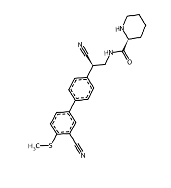 CSc1ccc(-c2ccc([C@@H](C#N)CNC(=O)[C@@H]3CCCCN3)cc2)cc1C#N